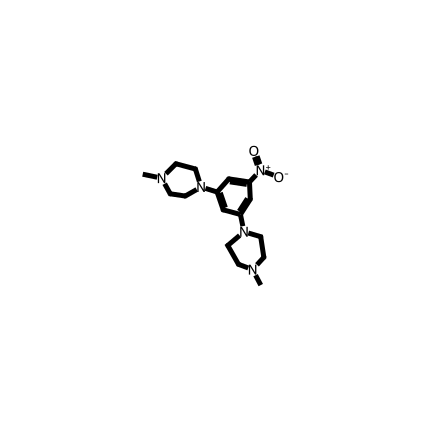 CN1CCN(c2cc(N3CCN(C)CC3)cc([N+](=O)[O-])c2)CC1